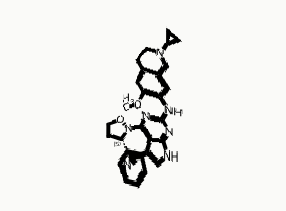 COc1cc2c(cc1Nc1nc(N3OCC[C@H]3c3ccccc3)c3c(C#N)c[nH]c3n1)CN(C1CC1)CC2